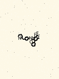 Cc1cc(-c2ccccc2)c(C(=O)Nc2ccc(Cc3ccccn3)cc2)cc1C(F)(F)F